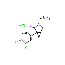 CCN1CC2CC2(c2ccc(F)c(Cl)c2)C1I.Cl